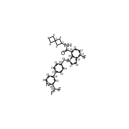 O=C(NC1CC2(CCC2)C1)c1ccc(F)c2ccn(Cc3ccc(-c4ccnc(C(F)F)c4)cc3)c12